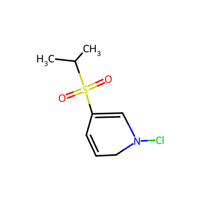 CC(C)S(=O)(=O)C1=CN(Cl)CC=C1